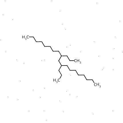 CCCCCCCCC(CCC)CC(CCC)CCCCCCCC